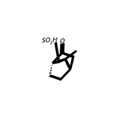 CC12C3CC[C@@]1(C(=O)C3)C2S(=O)(=O)O